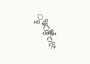 COc1cc(NC(=O)[C@H]2CCCC[C@H]2O)ccc1S(=O)(=O)Nc1cccc(OC(C)(F)F)c1